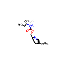 CCCCc1ccc(COC(=O)N[C@@H](CC(C)C)C(=O)O)nc1